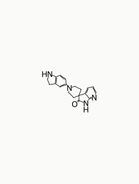 O=C1Nc2ncccc2C12CCN(c1ccc3c(c1)CCN3)CC2